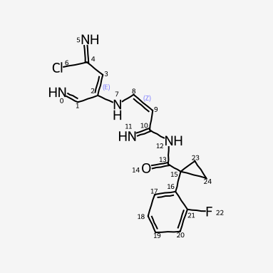 N=C/C(=C\C(=N)Cl)N/C=C\C(=N)NC(=O)C1(c2ccccc2F)CC1